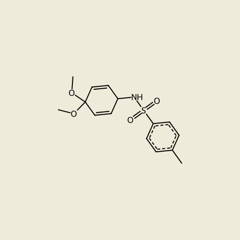 COC1(OC)C=CC(NS(=O)(=O)c2ccc(C)cc2)C=C1